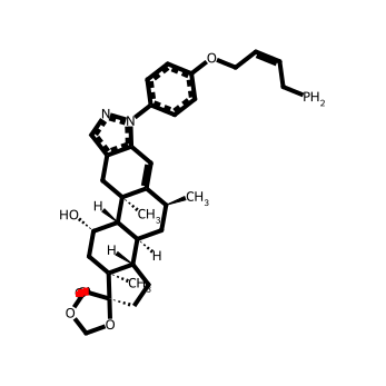 C[C@H]1C[C@@H]2[C@H]([C@@H](O)C[C@@]3(C)[C@H]2CC[C@@]32OCOC23COCO3)[C@@]2(C)Cc3cnn(-c4ccc(OC/C=C\CP)cc4)c3C=C12